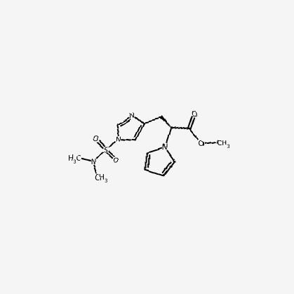 COC(=O)[C@H](Cc1cn(S(=O)(=O)N(C)C)cn1)n1cccc1